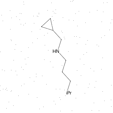 CC(C)CCCNCC1CC1